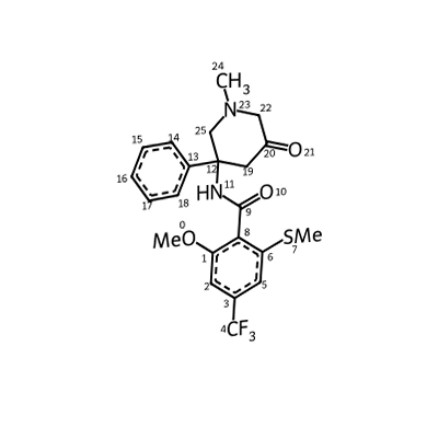 COc1cc(C(F)(F)F)cc(SC)c1C(=O)NC1(c2ccccc2)CC(=O)CN(C)C1